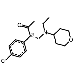 CCN(C[C@@H](C(C)=O)c1ccc(Cl)cc1)C1CCOCC1